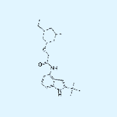 CCC1CC(C)CC(OCC(=O)Nc2cccc3[nH]c(C(C)(C)C)cc23)C1